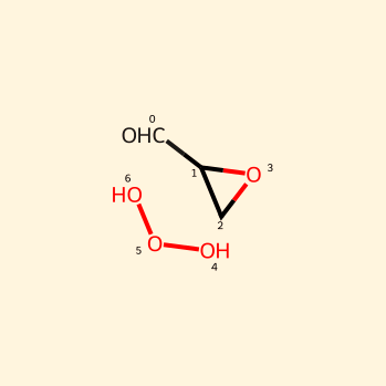 O=CC1CO1.OOO